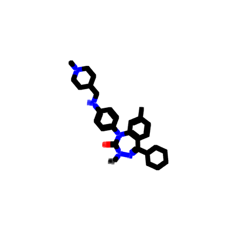 Cc1ccc2c(c1)N(c1ccc(NCC3CCN(C)CC3)cc1)C(=O)N(C(C)C)N=C2C1CCCCC1